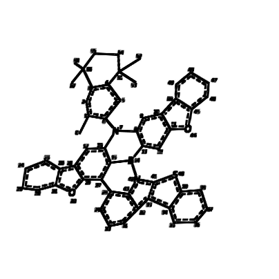 Cc1cc2c(cc1N1c3cc4c(cc3B3c5c1cc1c(oc6ccccc61)c5-c1cccc5c6c7ccccc7sc6n3c15)oc1ccccc14)C(C)(C)CCC2(C)C